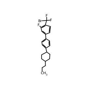 CCCC1CCC(c2ccc(-c3ccc(C(F)(F)Br)c(F)c3)cc2)CC1